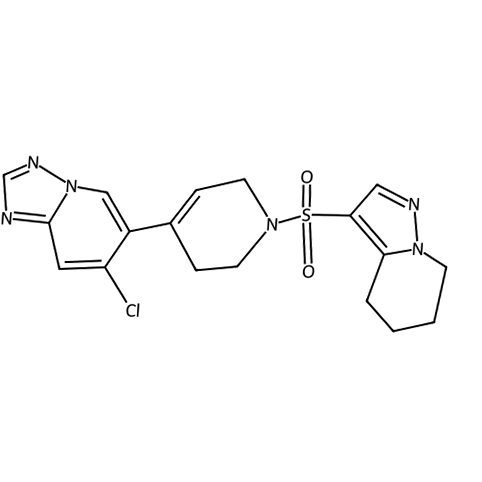 O=S(=O)(c1cnn2c1CCCC2)N1CC=C(c2cn3ncnc3cc2Cl)CC1